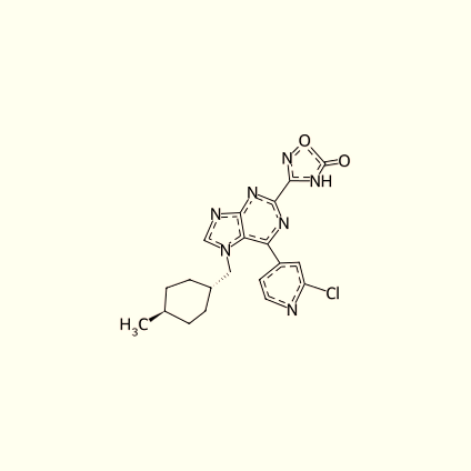 C[C@H]1CC[C@H](Cn2cnc3nc(-c4noc(=O)[nH]4)nc(-c4ccnc(Cl)c4)c32)CC1